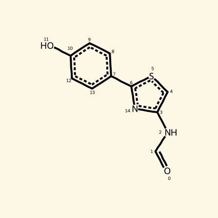 O=CNc1csc(-c2ccc(O)cc2)n1